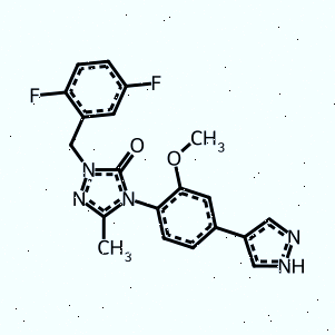 COc1cc(-c2cn[nH]c2)ccc1-n1c(C)nn(Cc2cc(F)ccc2F)c1=O